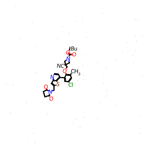 Cc1cc(Cl)cc(-c2ccnc3cc(CN4C(=O)CCC4=O)sc23)c1OCC1(C#N)CN(C(=O)OC(C)(C)C)C1